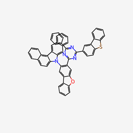 c1ccc(-c2nc(-c3ccc4sc5ccccc5c4c3)nc(-c3cc4oc5ccccc5c4cc3-n3c4cc5ccccc5cc4c4c5ccccc5ccc43)n2)cc1